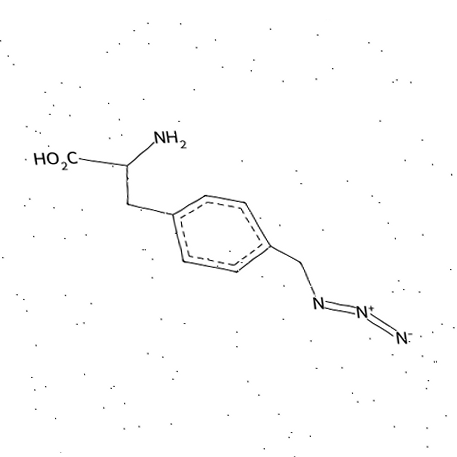 [N-]=[N+]=NCc1ccc(CC(N)C(=O)O)cc1